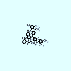 C=C(C)C(=O)OC1CCCCC1Nc1ccc(C(c2ccc(N(C)c3c(C)cc(C)cc3C)cc2)c2ccc(N(C)c3c(C)cc(C)cc3C)cc2)c2ccccc12